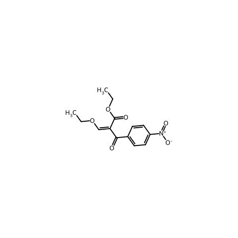 CCOC=C(C(=O)OCC)C(=O)c1ccc([N+](=O)[O-])cc1